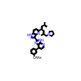 C=C(C)/C=C(\C=C(/C)CN1CCCC1)c1ccc2[nH]nc(-c3nc4c(-c5cccc(OC)c5)ccnc4[nH]3)c2n1